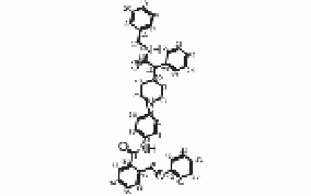 O=C(Nc1ccc(N2CCC(C(C(=O)NCc3ccccc3)c3ccccc3)CC2)cc1)c1ccccc1COc1ccccc1